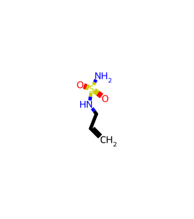 C=CCNS(N)(=O)=O